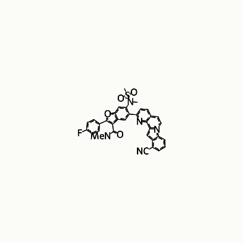 CNC(=O)c1c(-c2ccc(F)cc2)oc2cc(N(C)S(C)(=O)=O)c(-c3ccc4ccn5c6cccc(C#N)c6cc5c4n3)cc12